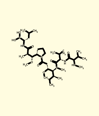 CC[C@H](C)[C@@H]([C@@H](CC(=O)N1CCC[C@H]1[C@H](OC)[C@@H](C)C(=O)N[C@@H](CC(C)C)B(O)O)OC)N(C)C(=O)[C@@H](NC(=O)C(NC)C(C)C)C(C)C